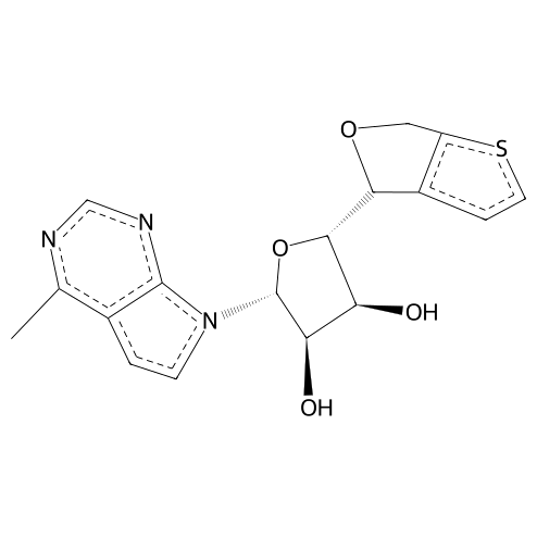 Cc1ncnc2c1ccn2[C@@H]1O[C@H](C2OCc3sccc32)[C@@H](O)[C@H]1O